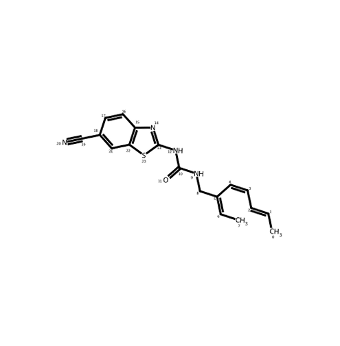 CC=C/C=C\C(=C/C)CNC(=O)Nc1nc2ccc(C#N)cc2s1